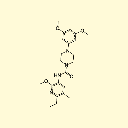 CCc1nc(OC)c(NC(=O)N2CCN(c3cc(OC)cc(OC)c3)CC2)cc1C